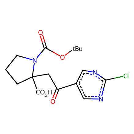 CC(C)(C)OC(=O)N1CCCC1(CC(=O)c1cnc(Cl)nc1)C(=O)O